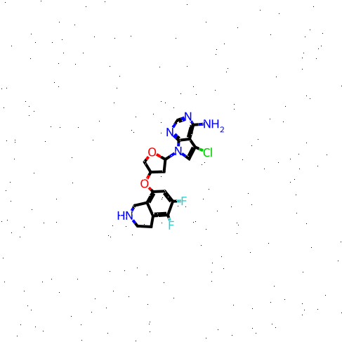 Nc1ncnc2c1c(Cl)cn2C1CC(Oc2cc(F)c(F)c3c2CNCC3)CO1